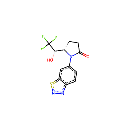 O=C1CC[C@@H]([C@H](O)C(F)(F)F)N1c1ccc2nnsc2c1